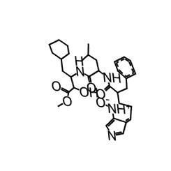 COC(=O)C(O)C(CC1CCCCC1)NC(=O)C(CC(C)C)NC(=O)C(Cc1ccccc1)C1CC=C2C=NC=C2[NH+]1[O-]